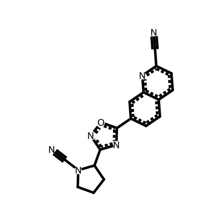 N#Cc1ccc2ccc(-c3nc(C4CCCN4C#N)no3)cc2n1